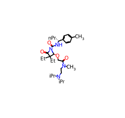 CCC[C@@H](NC(=O)N1C(=O)C(CC)(CC)[C@@H]1OCC(=O)N(C)CCN(C(C)C)C(C)C)c1ccc(C)cc1